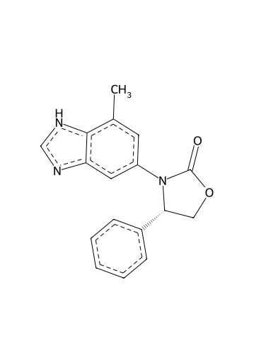 Cc1cc(N2C(=O)OC[C@@H]2c2ccccc2)cc2nc[nH]c12